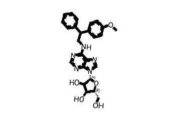 COc1ccc(C(CNc2ncnc3c2ncn3[C@@H]2O[C@H](CO)C(O)C2O)c2ccccc2)cc1